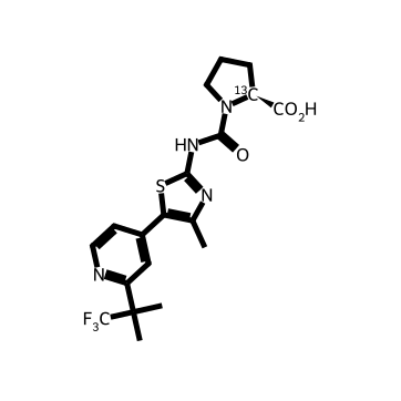 Cc1nc(NC(=O)N2CCC[13C@H]2C(=O)O)sc1-c1ccnc(C(C)(C)C(F)(F)F)c1